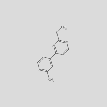 CSc1nccc(-c2ccnc(C)c2)n1